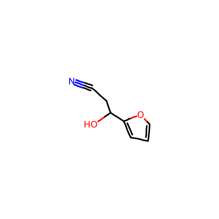 N#CCC(O)c1ccco1